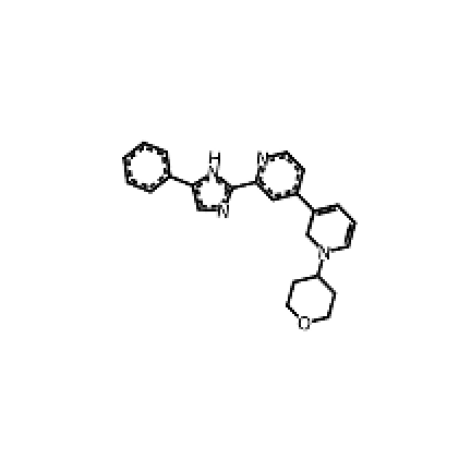 C1=CN(C2CCOCC2)CC(c2ccnc(-c3ncc(-c4ccccc4)[nH]3)c2)=C1